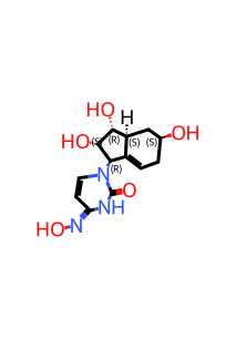 O=c1[nH]c(=NO)ccn1[C@@H]1C2=CC[C@H](O)C[C@@H]2[C@@H](O)[C@H]1O